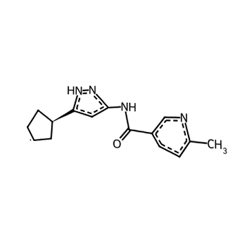 Cc1ccc(C(=O)Nc2cc([C@H]3C[CH]CC3)[nH]n2)cn1